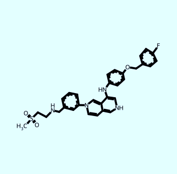 CS(=O)(=O)CCNCc1cccc(N2C=CC3=CNC=C(Nc4ccc(OCc5ccc(F)cc5)cc4)C3=C2)c1